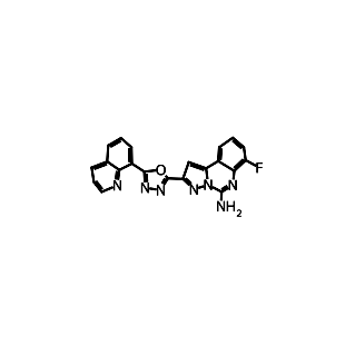 Nc1nc2c(F)cccc2c2cc(-c3nnc(-c4cccc5cccnc45)o3)nn12